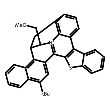 COCC1C2Cc3ccc4c5c(sc6ccccc65)c([n+]1c4c3)-c1cc(C(C)(C)C)c3ccccc3c12